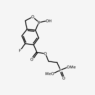 COP(=O)(CCOC(=O)c1cc2c(cc1F)COB2O)OC